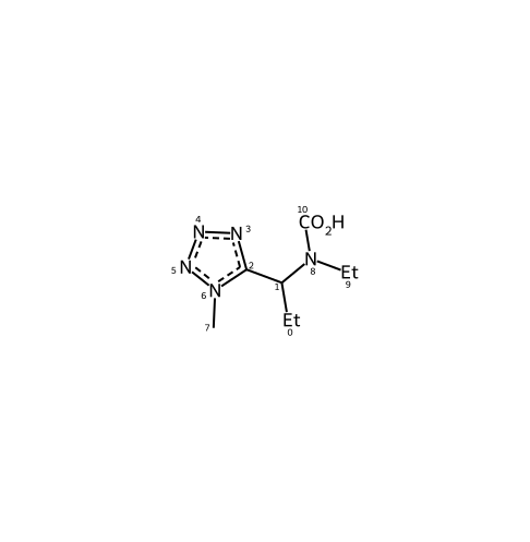 CCC(c1nnnn1C)N(CC)C(=O)O